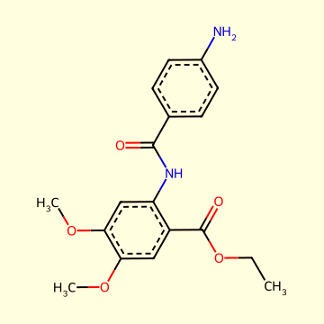 CCOC(=O)c1cc(OC)c(OC)cc1NC(=O)c1ccc(N)cc1